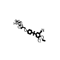 CCOc1c(Cl)cc(C(C)(C)c2ccc(OCc3coc(NS(C)(=O)=O)n3)cc2)cc1C#N